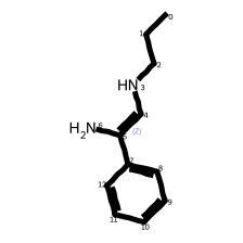 CCCN/C=C(\N)c1ccccc1